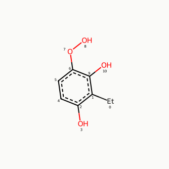 CCc1c(O)ccc(OO)c1O